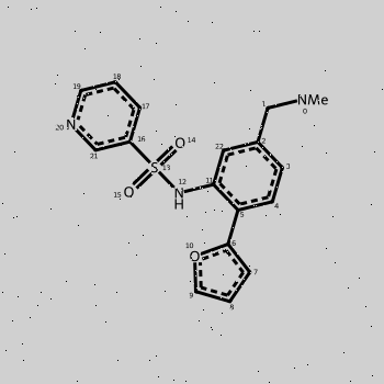 CNCc1ccc(-c2ccco2)c(NS(=O)(=O)c2cccnc2)c1